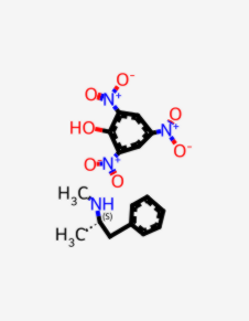 CN[C@@H](C)Cc1ccccc1.O=[N+]([O-])c1cc([N+](=O)[O-])c(O)c([N+](=O)[O-])c1